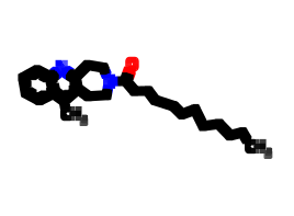 CCCCCCCCCCCC(=O)N1CCc2nc3ccccc3c(C)c2CC1